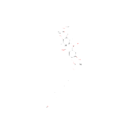 COCCCCCCCCCCCCOC(=O)C(C)Oc1ccc2c(c1)C(=O)c1ccc(OC(C)C(=O)OC)cc1C2=O